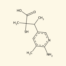 Cc1cc(C(C)C(C)(S)C(=O)O)cnc1N